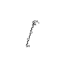 COB(I)SCCCCOCCCCOCCCCS